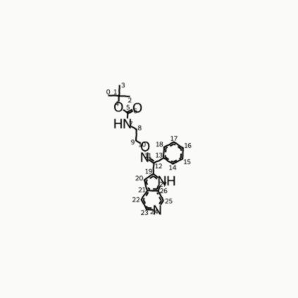 CC(C)(C)OC(=O)NCCON=C(c1ccccc1)c1cc2ccncc2[nH]1